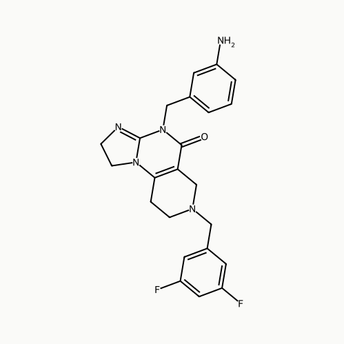 Nc1cccc(CN2C(=O)C3=C(CCN(Cc4cc(F)cc(F)c4)C3)N3CCN=C23)c1